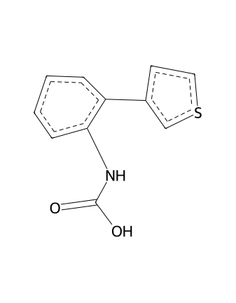 O=C(O)Nc1ccccc1-c1ccsc1